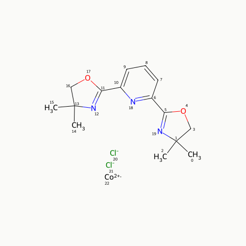 CC1(C)COC(c2cccc(C3=NC(C)(C)CO3)n2)=N1.[Cl-].[Cl-].[Co+2]